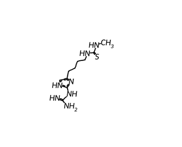 CNC(=S)NCCCCc1c[nH]c(NC(=N)N)n1